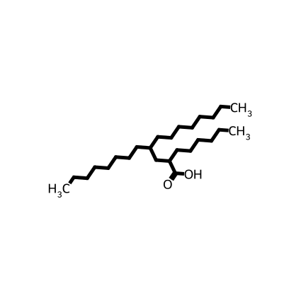 CCCCCCCCC(CCCCCCCC)CC(CCCCCC)C(=O)O